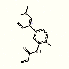 C=CC(=O)Nc1cc(/C(C=C)=C/N(C)C)ccc1C